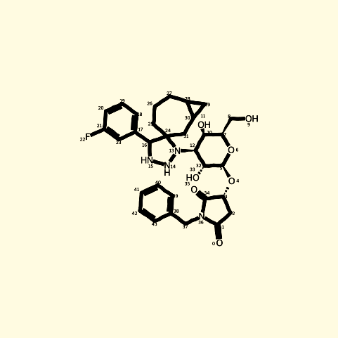 O=C1C[C@@H](O[C@@H]2O[C@H](CO)[C@H](O)[C@H](N3NNC(c4cccc(F)c4)C34CCCC3CC3C4)[C@H]2O)C(=O)N1Cc1ccccc1